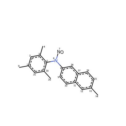 Cc1cc(C)c(N(N=O)c2ccc3cc(C)ccc3c2)c(C)c1